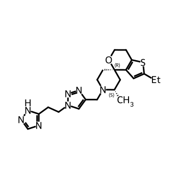 CCc1cc2c(s1)CCO[C@@]21CCN(Cc2cn(CCc3ncn[nH]3)nn2)[C@@H](C)C1